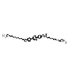 CCCCCCCCCCCCOc1ccc(-c2cnc(-c3ccc(OCC(F)CCCCCCCCCC)cc3)nc2)cc1